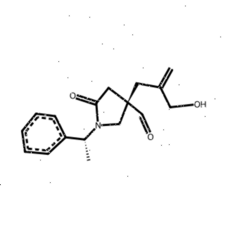 C=C(CO)C[C@]1(C=O)CC(=O)N([C@H](C)c2ccccc2)C1